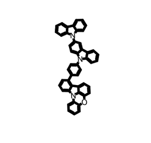 c1ccc2c(c1)Oc1cccc3c4c(-c5ccc(-n6c7ccccc7c7cc(-n8c9ccccc9c9ccccc98)ccc76)cc5)cccc4n-2c13